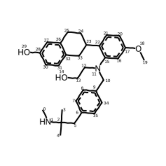 CNC(C)(C)Cc1ccc(CN(CCO)c2cc(OC)ccc2C2CCc3cc(O)ccc3C2)cc1